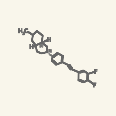 CC1CC[C@@H]2C[C@H](c3ccc(C#Cc4ccc(F)c(F)c4)cc3)CC[C@@H]2C1